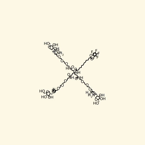 N/C(=C\N(N)C[C@@H]1CO[C@H](CO)[C@H](O)[C@@H]1O)COCCOCCOCCNC(=O)CCC(CCC(=O)NCCOCCOCCOC/C(N)=C/N(N)C[C@@H]1CO[C@H](CO)[C@H](O)[C@@H]1O)(CCC(=O)NCCOCCOCCOCc1cn(C[C@@H]2CO[C@H](CO)[C@H](O)[C@@H]2O)nn1)NC(=O)CCCCCCCCCCC(=O)Oc1c(F)c(F)c(F)c(F)c1F